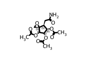 CC(=O)O[C@H]1[C@H](OC(C)=O)[C@H](CC(N)=O)[C@]2(CO2)[C@@H]1OC(C)=O